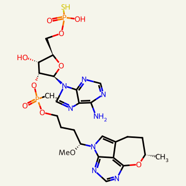 CO[C@H](CCCOP(C)(=O)O[C@@H]1[C@H](O)[C@@H](COP(=O)(O)S)O[C@H]1n1cnc2c(N)ncnc21)n1cc2c3c(ncnc31)O[C@@H](C)CC2